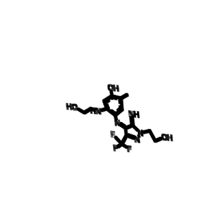 Cc1cc(N=C2C(=N)N(CCO)N=C2C(F)(F)F)c(NCCO)cc1O